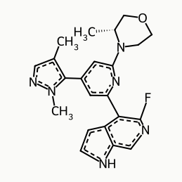 Cc1cnn(C)c1-c1cc(-c2c(F)ncc3[nH]ccc23)nc(N2CCOC[C@H]2C)c1